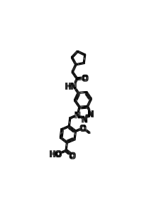 COc1cc(C(=O)O)ccc1Cn1nnc2ccc(NC(=O)CC3CCCC3)cc21